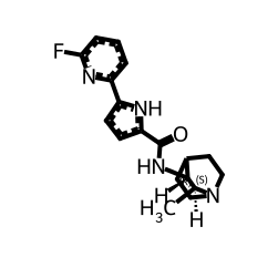 C[C@H]1[C@H](NC(=O)c2ccc(-c3cccc(F)n3)[nH]2)C2CCN1CC2